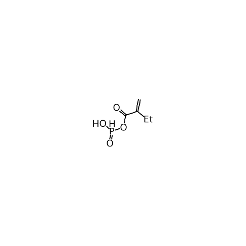 C=C(CC)C(=O)O[PH](=O)O